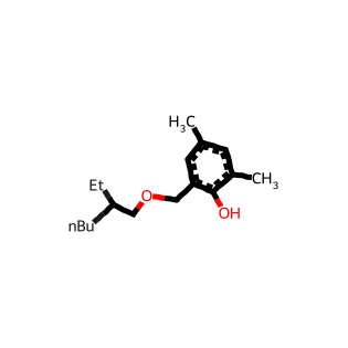 CCCCC(CC)COCc1cc(C)cc(C)c1O